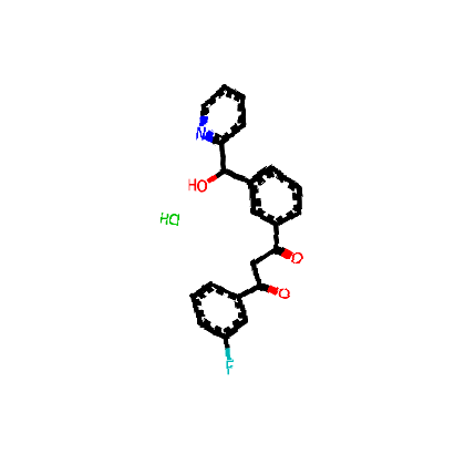 Cl.O=C(CC(=O)c1cccc(C(O)c2ccccn2)c1)c1cccc(F)c1